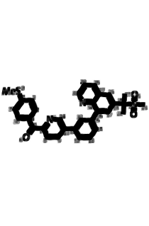 CSc1ccc(C(=O)c2ccc(-c3cccc(-c4cc(C(C)(C)S(C)(=O)=O)cc5cccnc45)c3)cn2)cc1